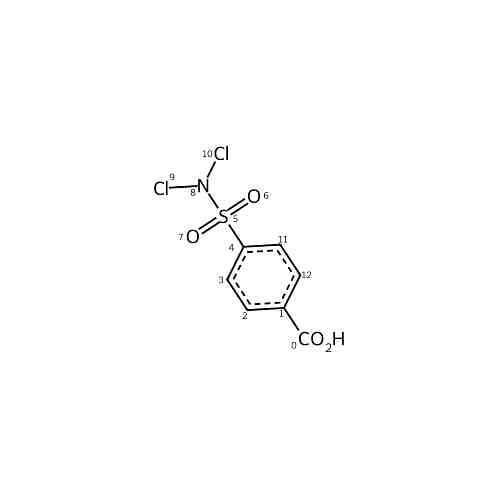 O=C(O)c1ccc(S(=O)(=O)N(Cl)Cl)cc1